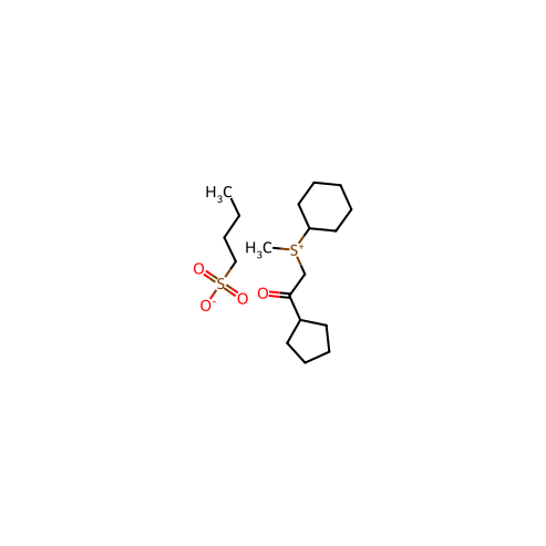 CCCCS(=O)(=O)[O-].C[S+](CC(=O)C1CCCC1)C1CCCCC1